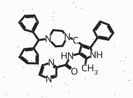 Cc1[nH]c(-c2ccccc2)c(CN2CCN(C(c3ccccc3)c3ccccc3)CC2)c1NC(=O)c1cnccn1